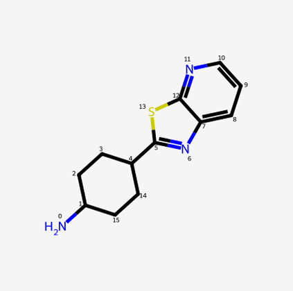 NC1CCC(c2nc3cccnc3s2)CC1